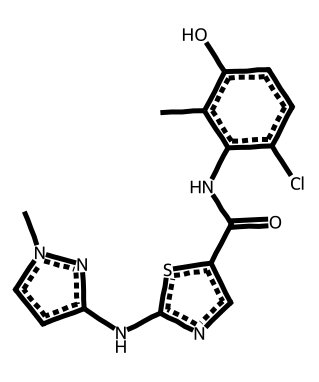 Cc1c(O)ccc(Cl)c1NC(=O)c1cnc(Nc2ccn(C)n2)s1